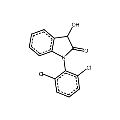 O=C1C(O)c2ccccc2N1c1c(Cl)cccc1Cl